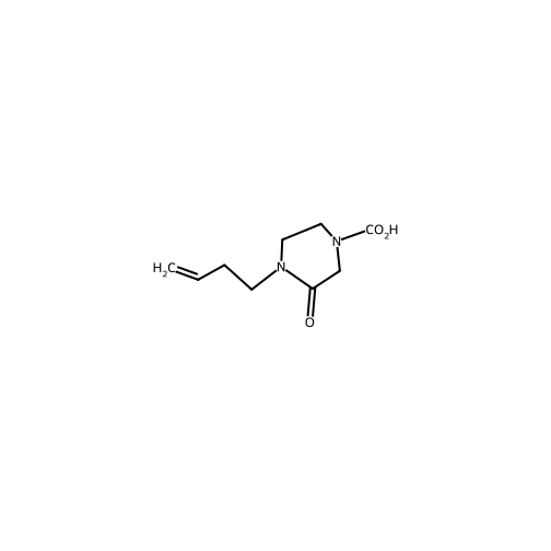 C=CCCN1CCN(C(=O)O)CC1=O